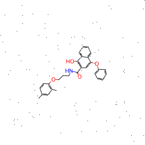 Cc1ccc(OCCCNC(=O)c2cc(Oc3ccccc3)c3ccccc3c2O)c(C)c1